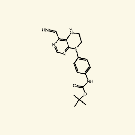 CC(C)(C)OC(=O)Nc1ccc(N2CCNc3c(C=N)ncnc32)cc1